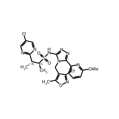 CCc1noc(C)c1Cn1c(NS(=O)(=O)[C@@H](C)[C@H](C)c2ncc(Cl)cn2)nnc1-c1cccc(OC)n1